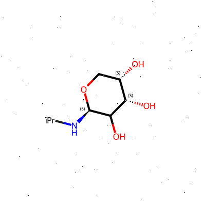 CC(C)N[C@H]1OC[C@H](O)[C@H](O)C1O